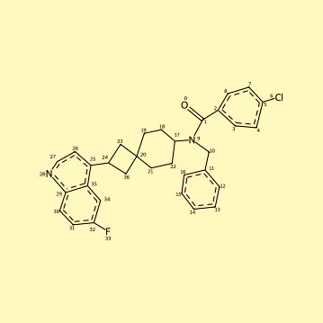 O=C(c1ccc(Cl)cc1)N(Cc1ccccc1)C1CCC2(CC1)CC(c1ccnc3ccc(F)cc13)C2